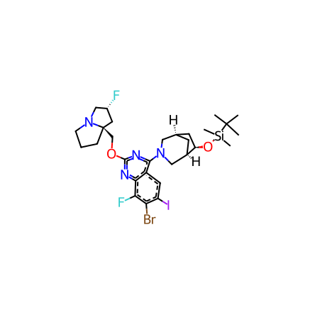 CC(C)(C)[Si](C)(C)O[C@@H]1C[C@H]2C[C@@H]1CN(c1nc(OC[C@@]34CCCN3C[C@H](F)C4)nc3c(F)c(Br)c(I)cc13)C2